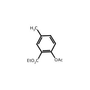 CCOC(=O)c1cc(C)ccc1OC(C)=O